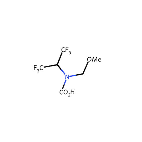 COCN(C(=O)O)C(C(F)(F)F)C(F)(F)F